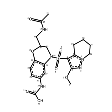 COc1nn2c(c1S(=O)(=O)N1CC(CNC(C)=O)Oc3ccc(NC(=O)O)cc31)CCCC2